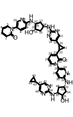 O=c1ccccn1-c1ccc(N[C@@H]2C[C@@H](Nc3ncc(C4CC4c4cccn(-c5ccc(N[C@@H]6CC(O)[C@@H](Nc7ncc(C8CC8)cn7)C6)nc5)c4=O)cn3)C[C@@H]2O)nc1